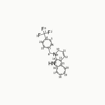 FC(F)(F)c1ccc(CN2CC=Cc3c2[nH]c2ccccc32)cc1